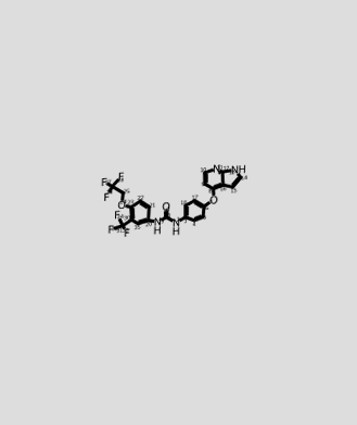 O=C(Nc1ccc(Oc2ccnc3[nH]ccc23)cc1)Nc1ccc(OCC(F)(F)F)c(C(F)(F)F)c1